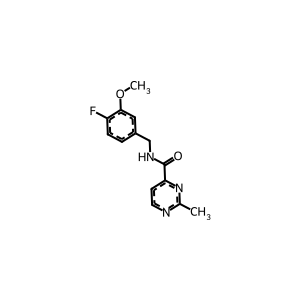 COc1cc(CNC(=O)c2ccnc(C)n2)ccc1F